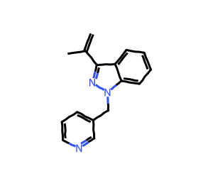 C=C(C)c1nn(Cc2cccnc2)c2ccccc12